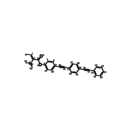 C/C=C(/C(=O)Oc1ccc(C#Cc2ccc(C#Cc3ccccc3)cc2)cc1)N(C)C